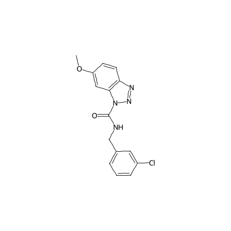 COc1ccc2nnn(C(=O)NCc3cccc(Cl)c3)c2c1